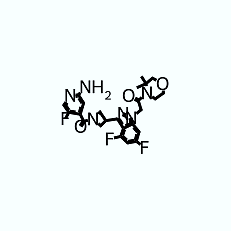 CC1(C)COCCN1C(=O)Cn1nc(C2CN(C(=O)c3cc(N)ncc3F)C2)c2c(F)cc(F)cc21